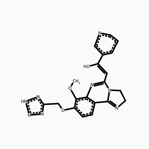 COc1c(OCc2nn[nH]n2)ccc2c1N=C(/C=C(\O)c1cccnc1)N1CCN=C21